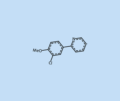 COc1ccc(-c2cc[c]cn2)cc1Cl